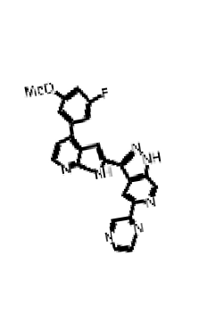 COc1cc(F)cc(-c2ccnc3[nH]c(-c4n[nH]c5cnc(-c6cnccn6)cc45)cc23)c1